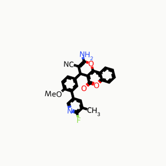 COc1ccc(C2C(C#N)=C(N)Oc3c2c(=O)oc2ccccc32)cc1-c1cnc(F)c(C)c1